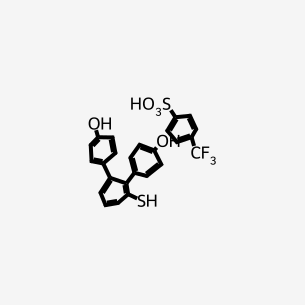 O=S(=O)(O)c1ccc(C(F)(F)F)cc1.Oc1ccc(-c2cccc(S)c2-c2ccc(O)cc2)cc1